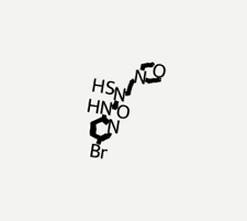 O=C(Nc1ccc(Br)cn1)N(S)CCN1CCOCC1